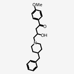 COc1ccc(C(=O)CC(O)CN2CCC(Cc3ccccc3)CC2)cc1